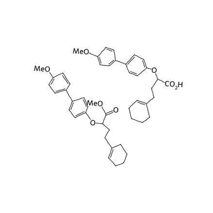 COC(=O)C(CCC1=CCCCC1)Oc1ccc(-c2ccc(OC)cc2)cc1.COc1ccc(-c2ccc(OC(CCC3=CCCCC3)C(=O)O)cc2)cc1